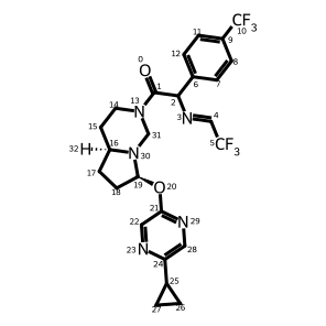 O=C(C(N=CC(F)(F)F)c1ccc(C(F)(F)F)cc1)N1CC[C@@H]2CC[C@H](Oc3cnc(C4CC4)cn3)N2C1